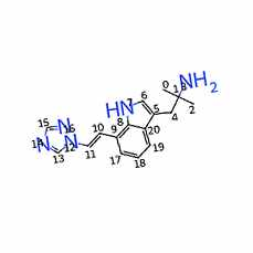 CC(C)(N)Cc1c[nH]c2c(/C=C/n3cncn3)cccc12